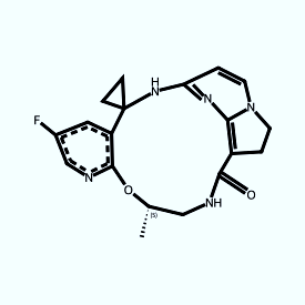 C[C@H]1CNC(=O)C2=C3N=C(C=CN3CC2)NC2(CC2)c2cc(F)cnc2O1